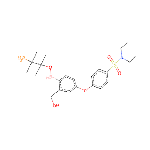 CCN(CC)S(=O)(=O)c1ccc(Oc2ccc(BOC(C)(C)C(C)(C)P)c(CO)c2)cc1